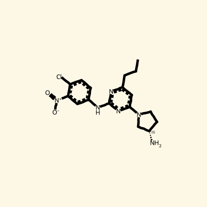 CCCc1cc(N2CC[C@H](N)C2)nc(Nc2ccc(Cl)c([N+](=O)[O-])c2)n1